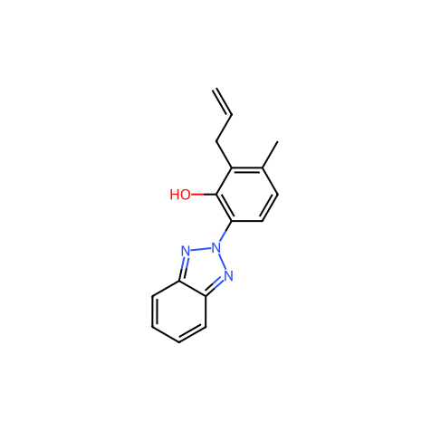 C=CCc1c(C)ccc(-n2nc3ccccc3n2)c1O